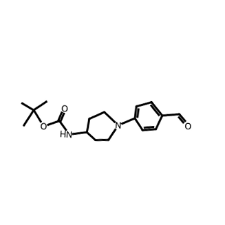 CC(C)(C)OC(=O)NC1CCN(c2ccc(C=O)cc2)CC1